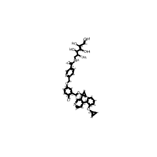 O=C(NCC(O)C(O)C(O)C(O)CO)c1ccc(COc2ccc(Cl)c(COC3(c4cnccc4-c4ccccc4OC4CC4)CC3)c2)nc1